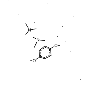 CN(C)C.CN(C)C.Oc1ccc(O)cc1